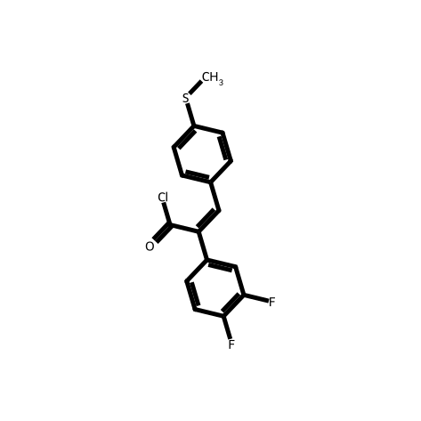 CSc1ccc(C=C(C(=O)Cl)c2ccc(F)c(F)c2)cc1